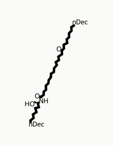 CCCCCCCCCCCCCCCCCCCC(=O)CCCCCCCCCCCCCCCC(=O)N[C@H](CO)CCCCCCCCCCCCCCCC